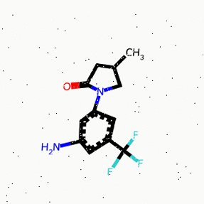 CC1CC(=O)N(c2cc(N)cc(C(F)(F)F)c2)C1